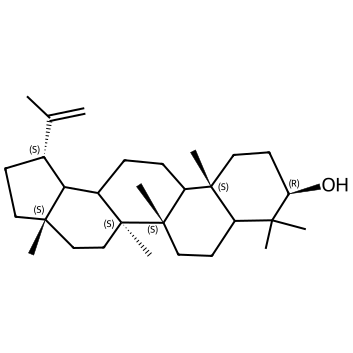 C=C(C)[C@H]1CC[C@@]2(C)CC[C@@]3(C)C(CCC4[C@]5(C)CC[C@@H](O)C(C)(C)C5CC[C@@]43C)C12